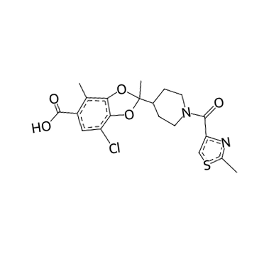 Cc1nc(C(=O)N2CCC(C3(C)Oc4c(Cl)cc(C(=O)O)c(C)c4O3)CC2)cs1